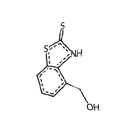 OCc1cccc2sc(=S)[nH]c12